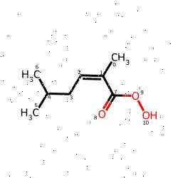 CC(=CCC(C)C)C(=O)OO